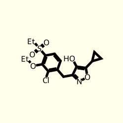 CCOc1c(S(=O)(=O)CC)ccc(Cc2noc(C3CC3)c2O)c1Cl